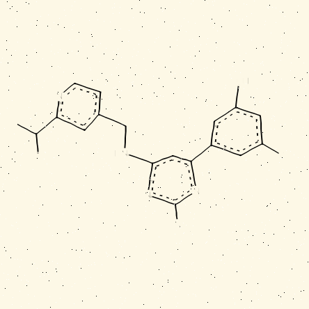 Cc1cc(C)cc(-c2cc(NCc3ccnc(C(F)F)c3)nc(N)n2)c1